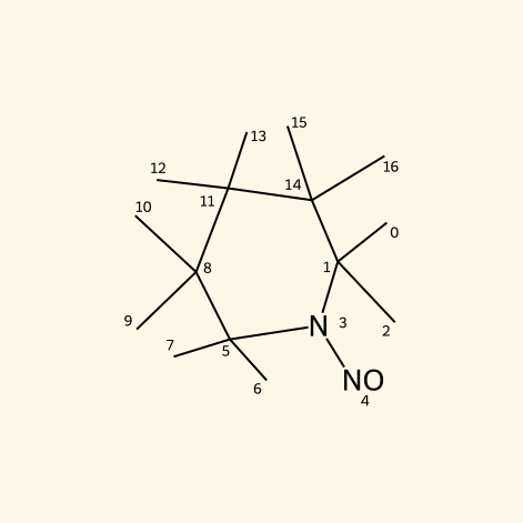 CC1(C)N(N=O)C(C)(C)C(C)(C)C(C)(C)C1(C)C